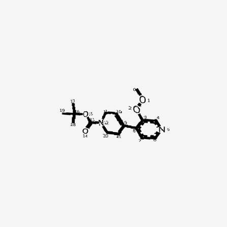 COOc1cnccc1C1=CCN(C(=O)OC(C)(C)C)CC1